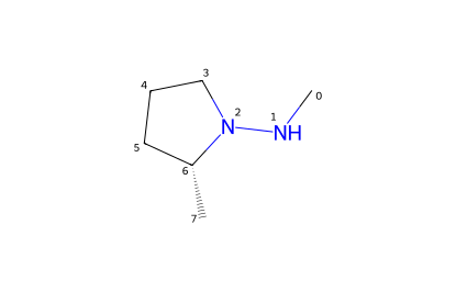 CNN1CCC[C@H]1C